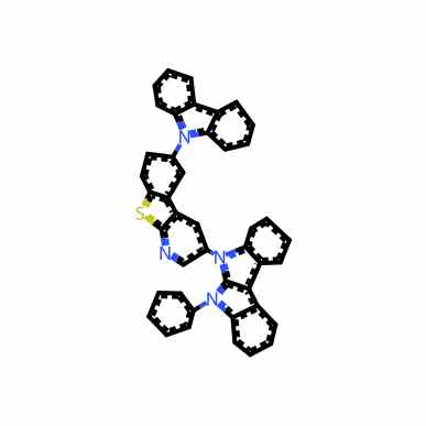 c1ccc(-n2c3ccccc3c3c4ccccc4n(-c4cnc5sc6ccc(-n7c8ccccc8c8ccccc87)cc6c5c4)c32)cc1